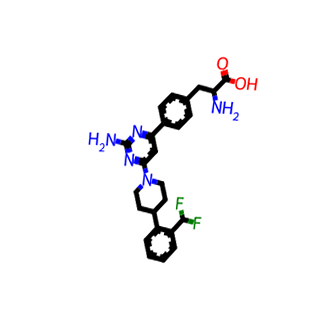 Nc1nc(-c2ccc(CC(N)C(=O)O)cc2)cc(N2CCC(c3ccccc3C(F)F)CC2)n1